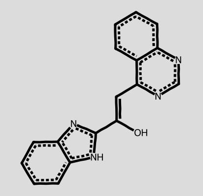 O/C(=C\c1ncnc2ccccc12)c1nc2ccccc2[nH]1